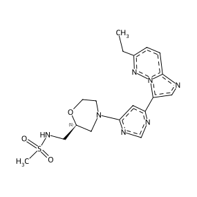 CCc1ccc2ncc(-c3cc(N4CCO[C@H](CNS(C)(=O)=O)C4)ncn3)n2n1